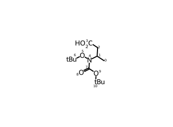 CC(CC(=O)O)N(OC(C)(C)C)C(=O)OC(C)(C)C